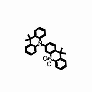 CC1(C)c2ccccc2N(c2ccc3c(c2)S(=O)(=O)c2ccccc2C3(C)C)c2ccccc21